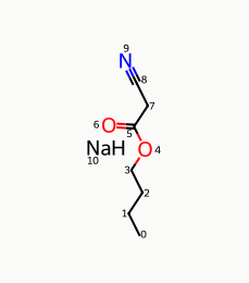 CCCCOC(=O)CC#N.[NaH]